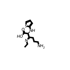 CC/N=C(\CCCN)[C@H](Nc1cccs1)C(=O)O